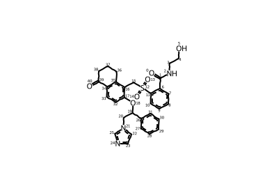 O=C(NCCO)c1ccccc1S(=O)(=O)Cc1c(OC(Cn2ccnc2)c2ccccc2)ccc2c1CCCC2=O